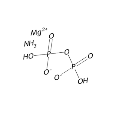 N.O=P([O-])(O)OP(=O)([O-])O.[Mg+2]